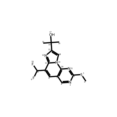 CSc1ncc2cc(C(F)F)c3nc(C(C)(C)O)cn3c2n1